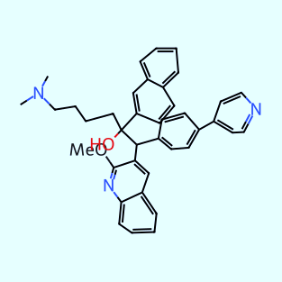 COc1nc2ccccc2cc1C(c1ccc(-c2ccncc2)cc1)C(O)(CCCCN(C)C)c1ccc2ccccc2c1